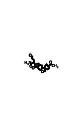 CC(=O)N1CCC2(CC1)COc1cc3c(cc12)CN(C(CCC=O)C(N)=O)C3=O